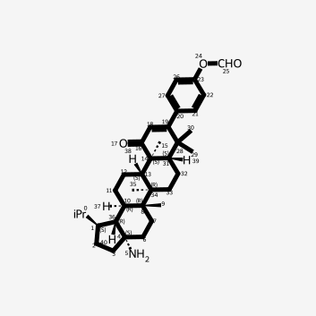 CC(C)[C@@H]1CC[C@]2(N)CC[C@]3(C)[C@H](CC[C@@H]4[C@@]5(C)C(=O)C=C(c6ccc(OC=O)cc6)C(C)(C)[C@@H]5CC[C@]43C)[C@@H]12